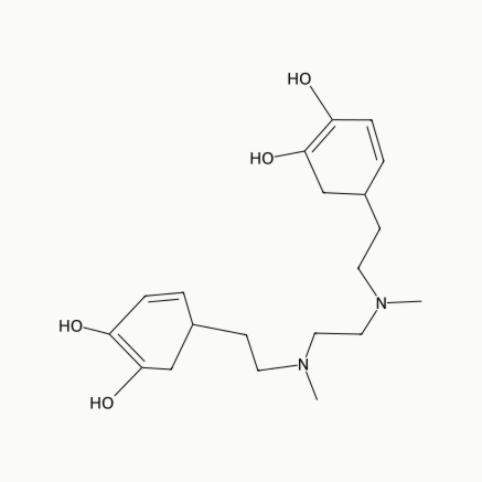 CN(CCC1C=CC(O)=C(O)C1)CCN(C)CCC1C=CC(O)=C(O)C1